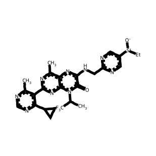 CC[S+]([O-])c1cnc(CNc2nc3c(C)nc(-c4c(C)ncnc4C4CC4)nc3n(C(C)C(F)(F)F)c2=O)nc1